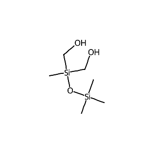 C[Si](C)(C)O[Si](C)(CO)CO